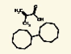 C1CCCC(C2CCCCCCC2)CCC1.C=C(C)C(=O)O